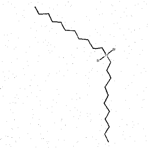 CCCCCCCCCCC[Te](Br)(Br)CCCCCCCCCCC